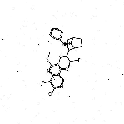 CSc1nc2c(F)c(Cl)ncc2c(=O)n1OC(C(F)F)C1NCC2CCC1N2Cc1ccccc1